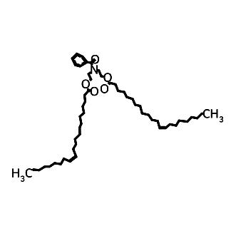 CCCCCCCC/C=C\CCCCCCCCCCCC(=O)OCCN(CCOC(=O)CCCCCCCCCCC/C=C\CCCCCCCC)C(=O)c1ccccc1